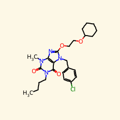 CCCCn1c(=O)c2c(nc(OCCOC3CCCCC3)n2Cc2ccc(Cl)cc2)n(C)c1=O